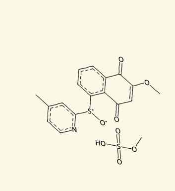 COC1=CC(=O)c2c(cccc2[S+]([O-])c2cc(C)ccn2)C1=O.COS(=O)(=O)O